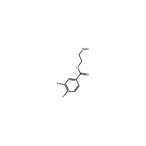 CNCCOC(=O)c1ccc(F)c(F)c1